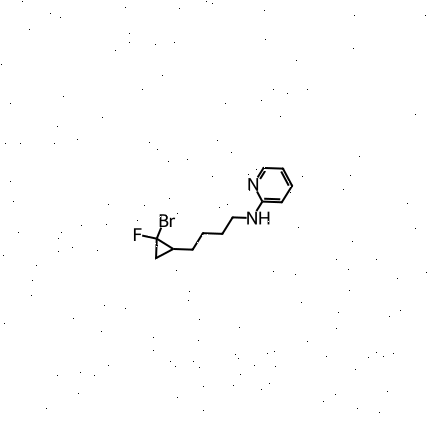 FC1(Br)CC1CCCCNc1ccccn1